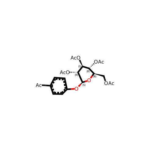 CC(=O)OC[C@H]1O[C@@H](Oc2ccc(C(C)=O)cc2)[C@H](OC(C)=O)[C@@H](OC(C)=O)[C@@H]1OC(C)=O